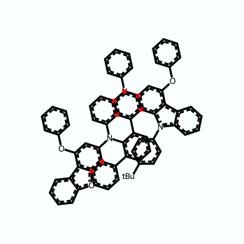 CC(C)(C)c1ccc(-n2c3ccccc3c3c(Oc4ccccc4)cc(N(c4ccccc4)c4cccc(N(c5cc(Oc6ccccc6)c6c(c5)oc5ccccc56)c5c(-c6ccccc6)cccc5-c5ccccc5)c4)cc32)cc1